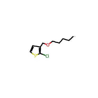 [CH2]CCCCOCc1ccsc1Cl